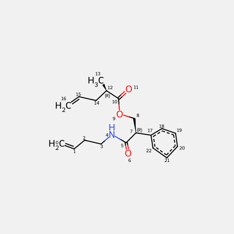 C=CCCNC(=O)[C@@H](COC(=O)[C@H](C)CC=C)c1ccccc1